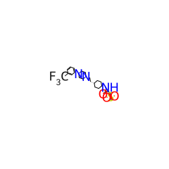 CS(=O)(=O)CC(=O)N[C@H]1CC[C@H](CCN2CCN(c3cccc(C(F)(F)F)c3)CC2)CC1